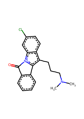 CN(C)CCCc1c2n(c3cc(Cl)ccc13)C(=O)c1ccccc1-2